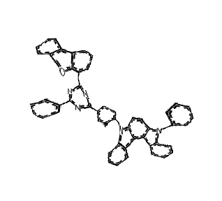 c1ccc(-c2nc(-c3ccc(-n4c5ccccc5c5c6c7ccccc7n(-c7ccccc7)c6ccc54)cc3)nc(-c3cccc4c3oc3ccccc34)n2)cc1